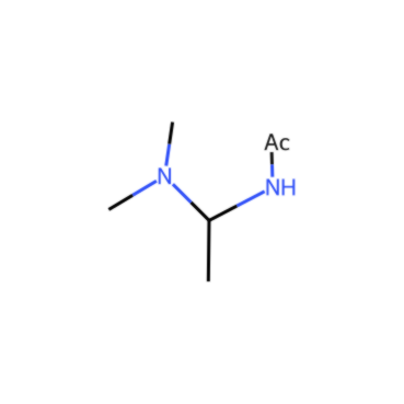 [CH2]C(=O)NC(C)N(C)C